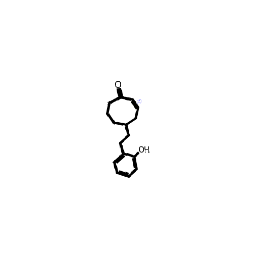 O=C1/C=C\CC(CCc2ccccc2O)CCC1